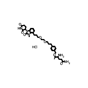 C[C@@H](OCc1ccc(CCCOCCOCCCc2cccc3c2n(C)c(=O)n3C2CCC(=O)NC2=O)cc1)[C@@H](N)CCC(N)=O.Cl